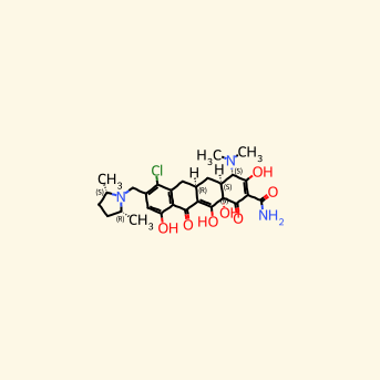 C[C@@H]1CC[C@H](C)N1Cc1cc(O)c2c(c1Cl)C[C@H]1C[C@H]3[C@H](N(C)C)C(O)=C(C(N)=O)C(=O)[C@@]3(O)C(O)=C1C2=O